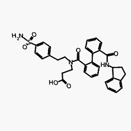 NS(=O)(=O)c1ccc(CCN(CCC(=O)O)C(=O)c2ccccc2-c2ccccc2C(=O)NC2CCc3ccccc32)cc1